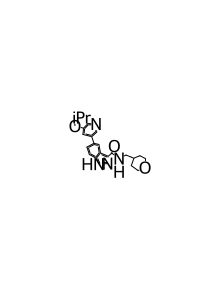 CC(C)Oc1cncc(-c2ccc3[nH]nc(C(=O)NCC4CCOCC4)c3c2)c1